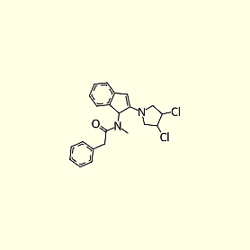 CN(C(=O)Cc1ccccc1)C1C(N2CC(Cl)C(Cl)C2)=Cc2ccccc21